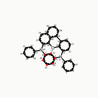 c1ccc(N(c2ccccc2)c2cccc3c2Oc2c(N(c4ccccc4)c4ccccc4)ccc4cccc-3c24)cc1